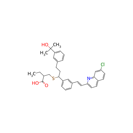 CCC(CSC(CCc1cccc(C(C)(C)O)c1)c1cccc(C=Cc2ccc3ccc(Cl)cc3n2)c1)C(=O)O